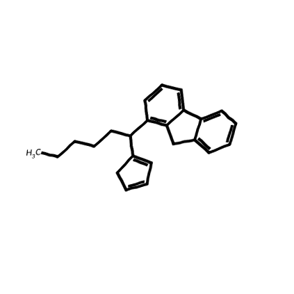 CCCCCC(C1=CC=CC1)c1cccc2c1Cc1ccccc1-2